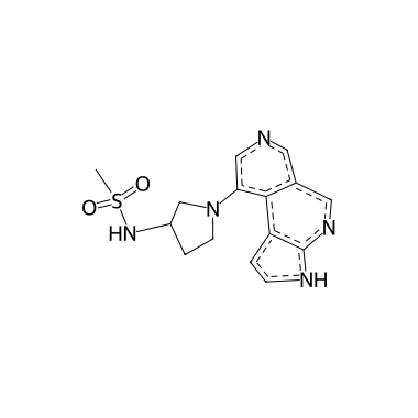 CS(=O)(=O)NC1CCN(c2cncc3cnc4[nH]ccc4c23)C1